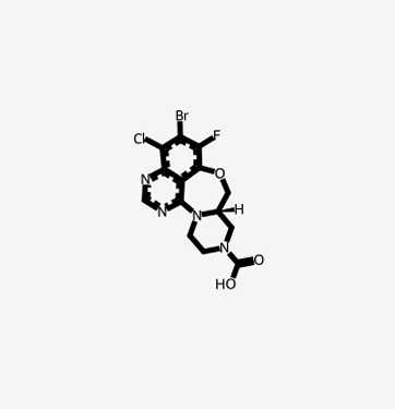 O=C(O)N1CCN2c3ncnc4c(Cl)c(Br)c(F)c(c34)OC[C@@H]2C1